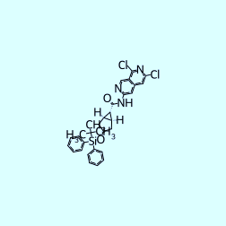 CC(C)(C)[Si](OC1C[C@@H]2[C@H](C1)[C@H]2C(=O)Nc1cc2cc(Cl)nc(Cl)c2cn1)(c1ccccc1)c1ccccc1